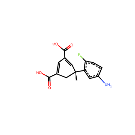 C[C@]1(c2cc(N)ccc2F)C=C(C(=O)O)C=C(C(=O)O)C1